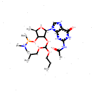 COP(OC1C(OC(OCCOC(C)=O)OCCOC(C)=O)[C@H](n2cnc3c(=O)[nH]c(NC(=O)C(C)C)nc32)O[C@@H]1C)N(C(C)C)C(C)C